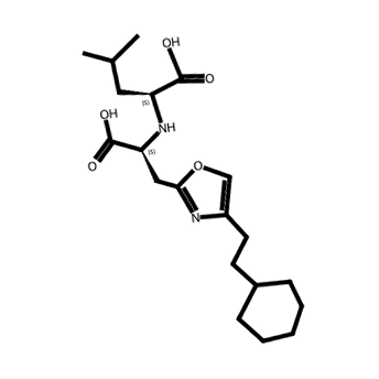 CC(C)C[C@H](N[C@@H](Cc1nc(CCC2CCCCC2)co1)C(=O)O)C(=O)O